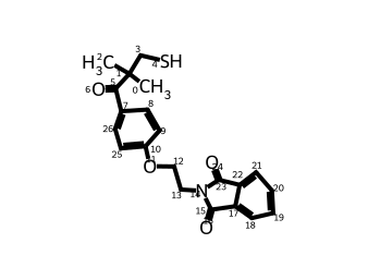 CC(C)(CS)C(=O)c1ccc(OCCN2C(=O)c3ccccc3C2=O)cc1